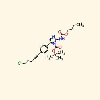 CCCCOC(=O)Nc1ncc(-c2ccc(C#CCCCCl)cc2)n1C(=O)OC(C)(C)C